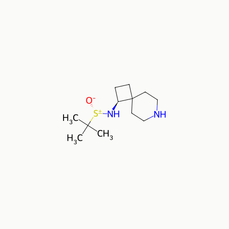 CC(C)(C)[S@+]([O-])N[C@H]1CCC12CCNCC2